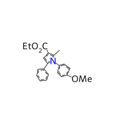 CCOC(=O)c1cc(-c2ccccc2)n(-c2ccc(OC)cc2)c1C